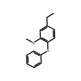 CCc1ccc(Oc2ccccc2)c(OC)c1